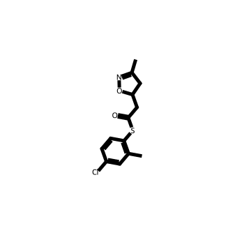 CC1=NOC(CC(=O)Sc2ccc(Cl)cc2C)C1